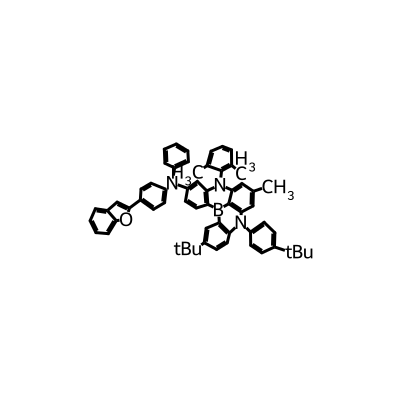 Cc1cc2c3c(c1)N(c1c(C)cccc1C)c1cc(N(c4ccccc4)c4ccc(-c5cc6ccccc6o5)cc4)ccc1B3c1cc(C(C)(C)C)ccc1N2c1ccc(C(C)(C)C)cc1